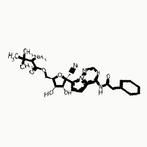 CC(C)(C)C(N)C(=O)OC[C@H]1O[C@@](C#N)(c2ccc3c(NC(=O)CC4CCCCC4)ncnn23)[C@H](O)[C@@H]1O